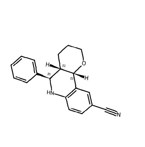 N#Cc1ccc2c(c1)[C@H]1OCCC[C@H]1[C@H](c1ccccc1)N2